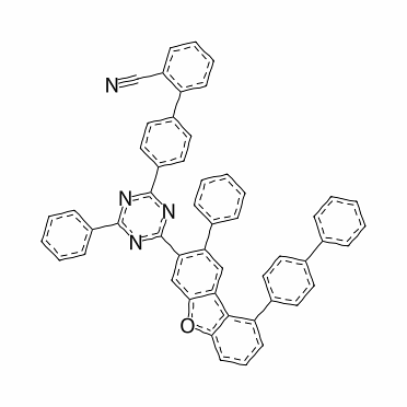 N#Cc1ccccc1-c1ccc(-c2nc(-c3ccccc3)nc(-c3cc4oc5cccc(-c6ccc(-c7ccccc7)cc6)c5c4cc3-c3ccccc3)n2)cc1